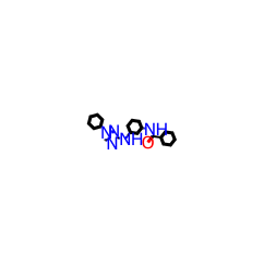 O=C(Nc1cccc(Nc2ncn(-c3ccccc3)n2)c1)c1ccccc1